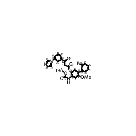 COc1cc(NC(=O)OC(C)(C)C)c(NC(=O)CC(=O)c2cccc(-n3ccnc3)c2)cc1-c1ccccc1F